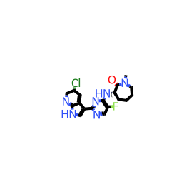 CN1CCCC[C@H](Nc2nc(-c3c[nH]c4c3=CC(Cl)CN=4)ncc2F)C1=O